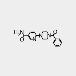 NC(=O)c1ccc(N2CCN(C(=O)c3ccccc3)CC2)nc1